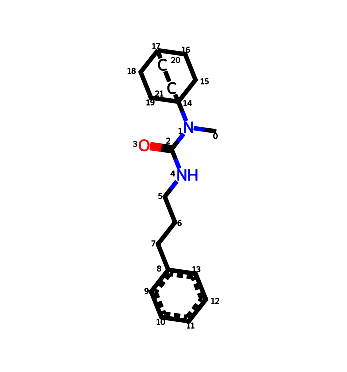 CN(C(=O)NCCCc1ccccc1)C12CCC(CC1)CC2